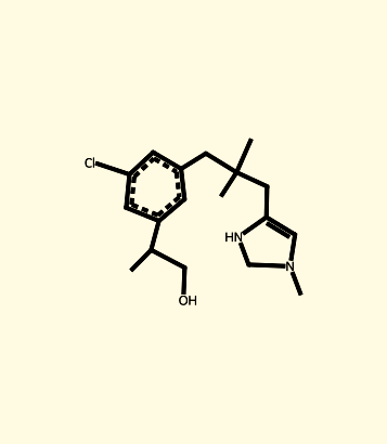 CC(CO)c1cc(Cl)cc(CC(C)(C)CC2=CN(C)CN2)c1